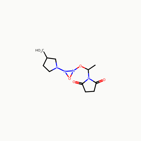 CC(On1on1N1CCC(C(=O)O)C1)N1C(=O)CCC1=O